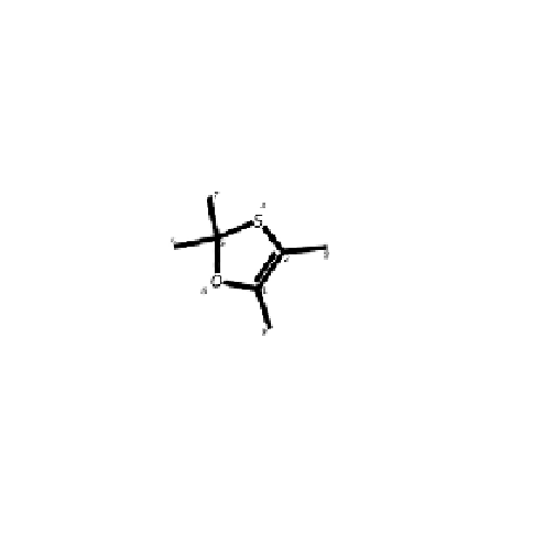 CC1=C(C)SC(C)(C)O1